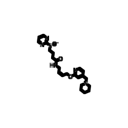 O=C(CCC[S+]([O-])c1ncccn1)NC/C=C\COc1cc(CN2CCCCC2)ccn1